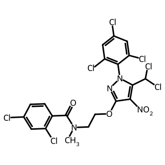 CN(CCOc1nn(-c2c(Cl)cc(Cl)cc2Cl)c(C(Cl)Cl)c1[N+](=O)[O-])C(=O)c1ccc(Cl)cc1Cl